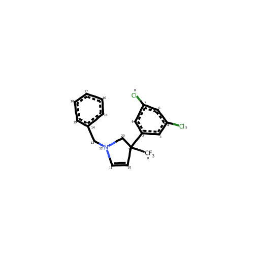 FC(F)(F)C1(c2cc(Cl)cc(Cl)c2)C=CN(Cc2ccccc2)C1